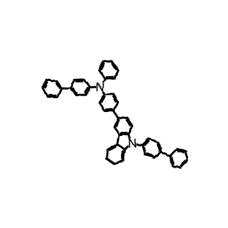 C1=c2c(n(-c3ccc(-c4ccccc4)cc3)c3ccc(-c4ccc(N(c5ccccc5)c5ccc(-c6ccccc6)cc5)cc4)cc23)=CCC1